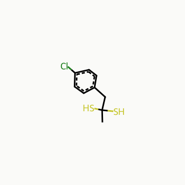 CC(S)(S)Cc1ccc(Cl)cc1